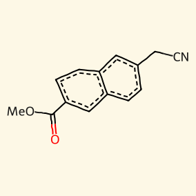 COC(=O)c1ccc2cc(CC#N)ccc2c1